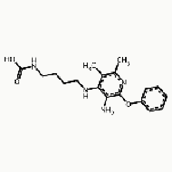 Cc1nc(Oc2ccccc2)c(N)c(NCCCCNC(=O)O)c1C